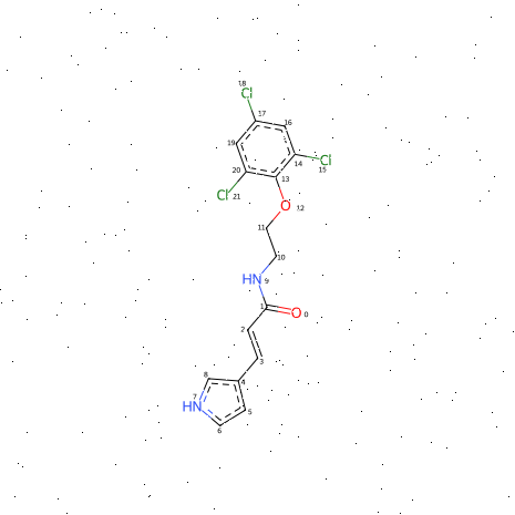 O=C(C=Cc1cc[nH]c1)NCCOc1c(Cl)cc(Cl)cc1Cl